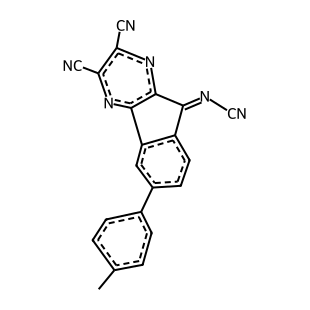 Cc1ccc(-c2ccc3c(c2)-c2nc(C#N)c(C#N)nc2/C3=N/C#N)cc1